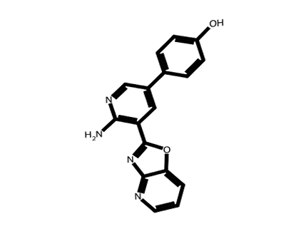 Nc1ncc(-c2ccc(O)cc2)cc1-c1nc2ncccc2o1